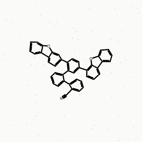 N#Cc1ccccc1-c1ccccc1-c1cc(-c2cccc3c2oc2ccccc23)ccc1-c1ccc2c(c1)oc1ccccc12